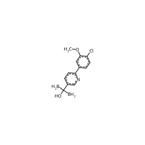 BC(B)(O)c1ccc(-c2ccc(Cl)c(OC)c2)nc1